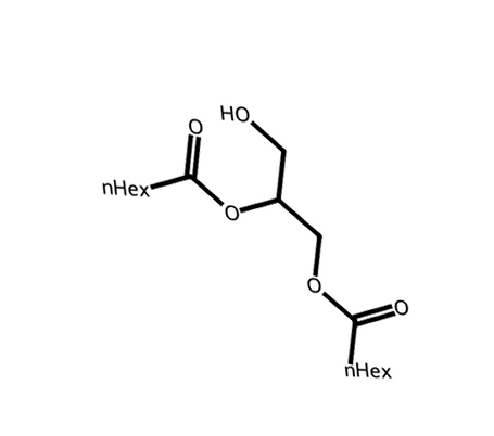 CCCCCCC(=O)OCC(CO)OC(=O)CCCCCC